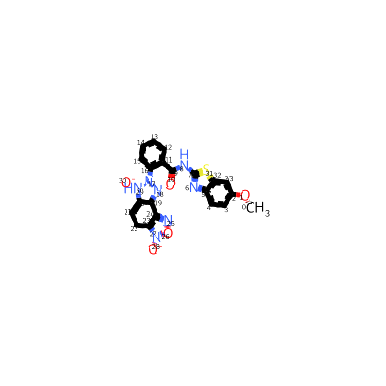 COc1ccc2nc(NC(=O)c3ccccc3N3N=C4C(=CCc5c4no[n+]5[O-])[NH+]3[O-])sc2c1